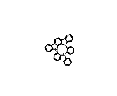 c1ccc(-n2c3ccccc3n3c4ccccc4c4ccc5c6ccccc6n(c6ccccc62)c5c43)cc1